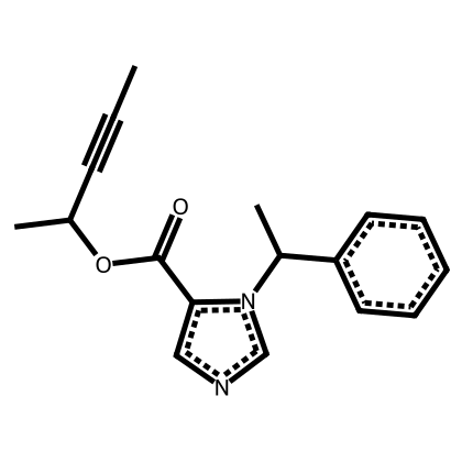 CC#CC(C)OC(=O)c1cncn1C(C)c1ccccc1